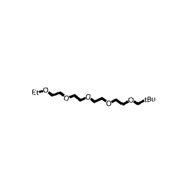 CCOCCOCCOCCOCCOCC(C)(C)C